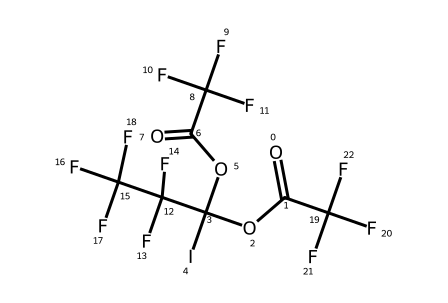 O=C(OC(I)(OC(=O)C(F)(F)F)C(F)(F)C(F)(F)F)C(F)(F)F